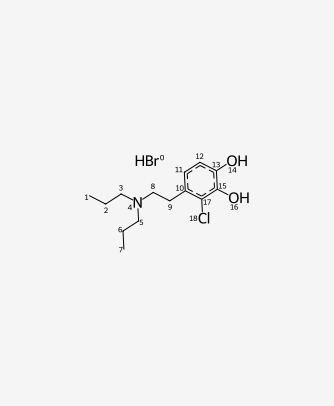 Br.CCCN(CCC)CCc1ccc(O)c(O)c1Cl